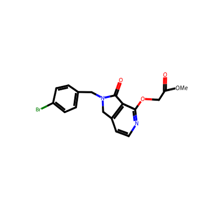 COC(=O)COc1nccc2c1C(=O)N(Cc1ccc(Br)cc1)C2